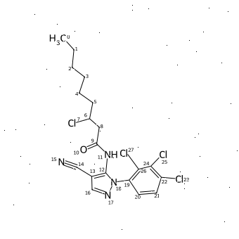 CCCCCCC(Cl)CC(=O)Nc1c(C#N)cnn1-c1ccc(Cl)c(Cl)c1Cl